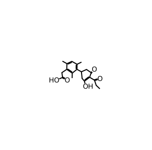 CCC(=O)C1=C(O)CC(c2c(C)cc(C)c(CC(=O)O)c2C)CC1=O